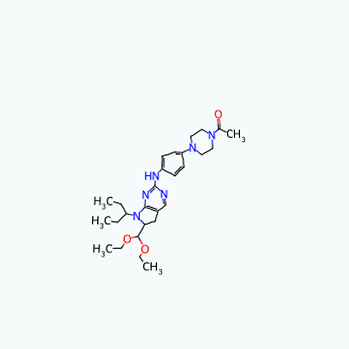 CCOC(OCC)C1Cc2cnc(Nc3ccc(N4CCN(C(C)=O)CC4)cc3)nc2N1C(CC)CC